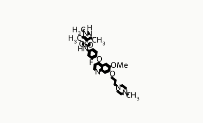 COc1cc2c(Oc3ccc(NS(=O)(=O)C4=C(C)N(C)NC4C)cc3F)ccnc2cc1OCCCN1CCN(C)CC1